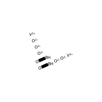 B=O.B=O.[O-2].[O-2].[O-2].[O-2].[O-2].[V+5].[V+5]